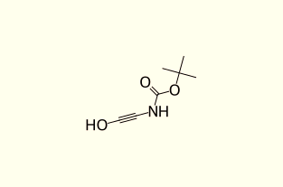 CC(C)(C)OC(=O)NC#CO